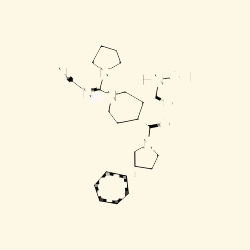 N#C/N=C(\N1CCCC1)N1CC[C@H](C(=O)N2CC[C@H](c3ccccc3)C2)[C@@H](C(=O)NO)C1